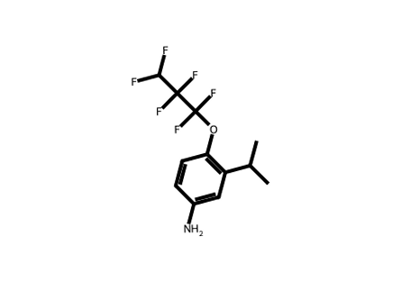 CC(C)c1cc(N)ccc1OC(F)(F)C(F)(F)C(F)F